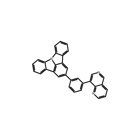 c1cc(-c2cc3c4ccccc4n4c5ccccc5c(c2)c34)cc(-c2cncc3cccnc23)c1